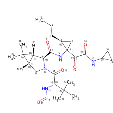 CCC[C@H]1CC1(NC(=O)[C@@H]1[C@@H]2[C@H](CN1C(=O)[C@@H](NC=O)C(C)(C)C)C2(C)C)C(=O)C(=O)NC1CC1